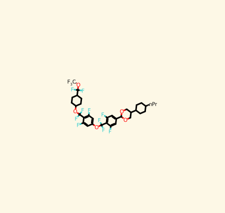 CCCC1CCC(C2COC(c3cc(F)c(C(F)(F)Oc4cc(F)c(C(F)(F)OC5CCC(C(F)(F)OC(F)(F)F)CC5)c(F)c4)c(F)c3)OC2)CC1